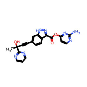 CC(O)(C#Cc1ccc2c(C(=O)Oc3ccnc(N)n3)n[nH]c2c1)c1ncccn1